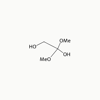 COC(O)(CO)OC